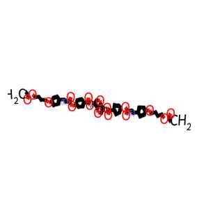 C=CC(=O)OCCCCOc1ccc(/C=C/C(=O)Oc2ccc(C(=O)O[C@H]3COC4C3OC[C@H]4OC(=O)c3ccc(OC(=O)/C=C/c4ccc(OCCCCOC(=O)C=C)cc4)cc3)cc2)cc1